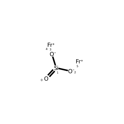 O=[Si]([O-])[O-].[Fr+].[Fr+]